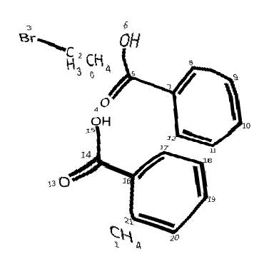 C.C.CBr.O=C(O)c1ccccc1.O=C(O)c1ccccc1